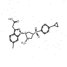 C[C@@H]1CN(S(=O)(=O)c2ccc(C3CC3)cc2)C[C@@H]1n1nc(CC(=O)O)c2ccc(F)cc21